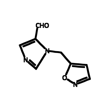 O=Cc1cncn1Cc1ccno1